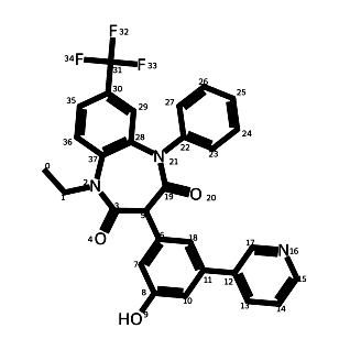 CCN1C(=O)C(c2cc(O)cc(-c3cccnc3)c2)C(=O)N(c2ccccc2)c2cc(C(F)(F)F)ccc21